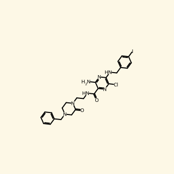 Nc1nc(NCc2ccc(I)cc2)c(Cl)nc1C(=O)NCCN1CCN(Cc2ccccc2)CC1=O